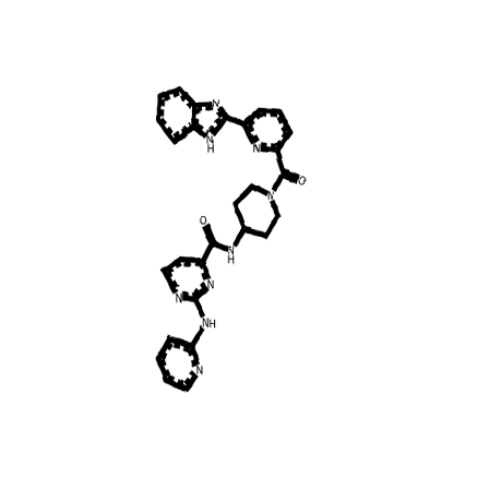 O=C(NC1CCN(C(=O)c2cccc(-c3nc4ccccc4[nH]3)n2)CC1)c1ccnc(Nc2ccccn2)n1